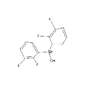 O[SiH](c1cccc(F)c1F)c1cccc(F)c1F